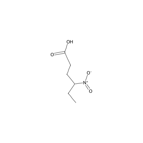 CCC(CCC(=O)O)[N+](=O)[O-]